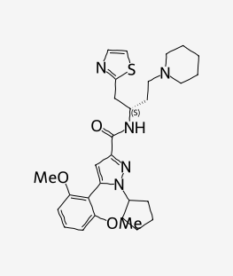 COc1cccc(OC)c1-c1cc(C(=O)N[C@@H](CCN2CCCCC2)Cc2nccs2)nn1C1CCCC1